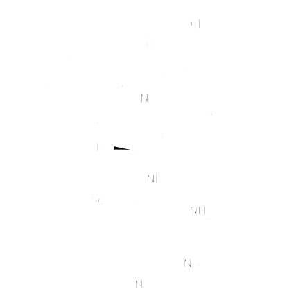 C[C@H](NC(=O)c1cncnc1N)c1cc2cccc(Cl)c2c(=O)n1-c1ccccc1